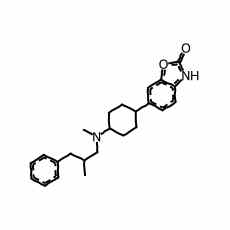 CC(Cc1ccccc1)CN(C)C1CCC(c2ccc3[nH]c(=O)oc3c2)CC1